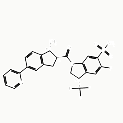 C[C@H]1c2ccc(-c3ccccn3)cc2C[C@@H]1C(=O)N1C[C@@H](C(F)(F)F)c2cc(F)c(S(N)(=O)=O)cc21